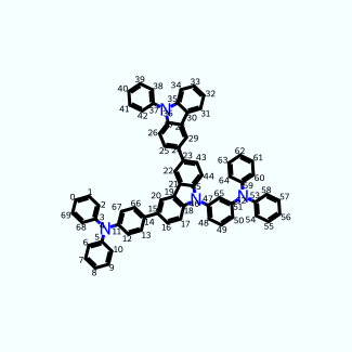 c1ccc(N(c2ccccc2)c2ccc(-c3ccc4c(c3)c3cc(-c5ccc6c(c5)c5ccccc5n6-c5ccccc5)ccc3n4-c3cccc(N(c4ccccc4)c4ccccc4)c3)cc2)cc1